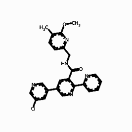 COc1nc(CNC(=O)c2cc(-c3cncc(Cl)c3)cnc2-c2ccccn2)ccc1C